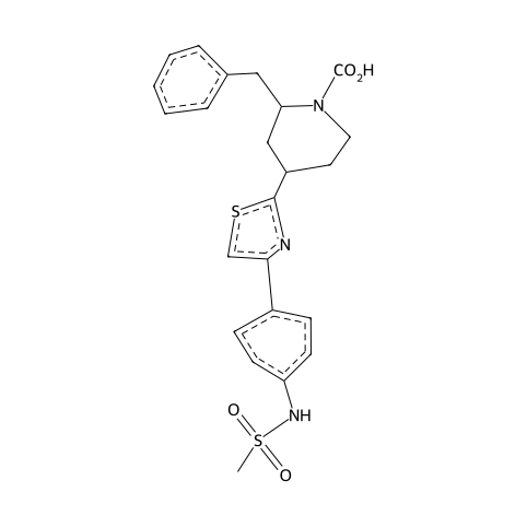 CS(=O)(=O)Nc1ccc(-c2csc(C3CCN(C(=O)O)C(Cc4ccccc4)C3)n2)cc1